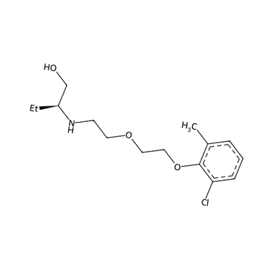 CC[C@@H](CO)NCCOCCOc1c(C)cccc1Cl